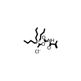 C=C(C)C(=O)NC(=O)OC(C)[P+](CCCC)(CCCC)CCCC.[Cl-]